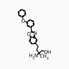 C[C@](N)(CO)CCc1ccc2oc(-c3cccc(Oc4ccccc4)c3)nc2c1